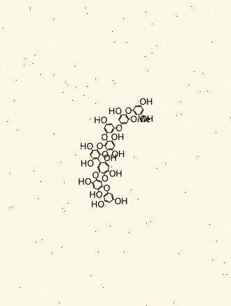 COc1cc(Oc2cc(O)cc(Oc3c(O)cc(O)c4c3Oc3c(O)cc(O)c(C5=C=C6Oc7c(O)cc(O)c(Oc8cc(O)cc(O)c8)c7OC6=C(O)C=C5O)c3O4)c2)cc(O)c1Oc1cc(O)cc(O)c1